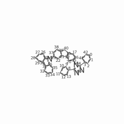 c1ccc(-c2nnc(-c3ccccc3)n2-c2ccc3c(c2)-c2cc(-n4c5ccccc5c5ccccc54)ccc2C3)cc1